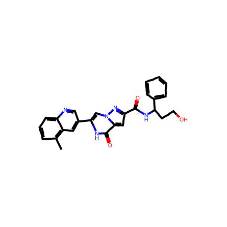 Cc1cccc2ncc(-c3cn4nc(C(=O)NC(CCO)c5ccccc5)cc4c(=O)[nH]3)cc12